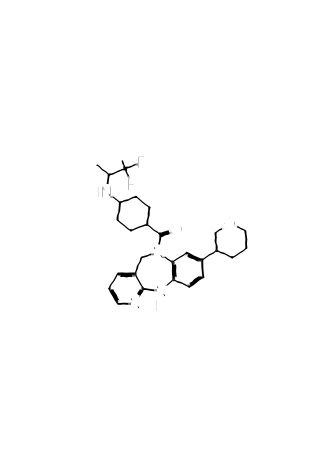 CC(NC1CCC(C(=O)N2Cc3cccnc3Nc3ccc(C4CCCOC4)cc32)CC1)C(F)(F)F